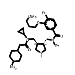 CCc1ccc(C(=O)N(C[C@@H]2CNC[C@H]2CN(C(=O)CC2CCC(N)CC2)C2CC2)C(C)C)cc1OCCCOC